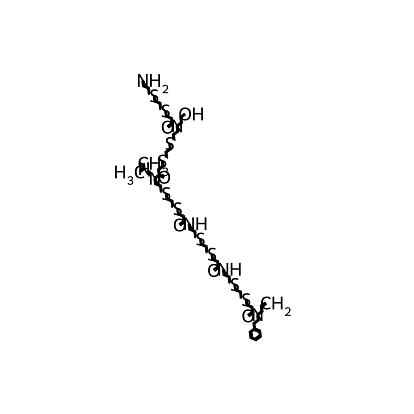 C=CCN(CCc1ccccc1)C(=O)CCSCCCSCCCNC(=O)CCSCCCSCCCNC(=O)CCSCCCSCCCN(CCN(C)C)C(=O)CCSCCCSCCCN(CCO)C(=O)CCSCCCSCCCN